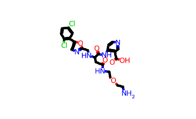 NCCOCCNC(=O)CC(NCc1ncc(-c2cc(Cl)ccc2Cl)o1)C(=O)Nc1ccncc1C(=O)O